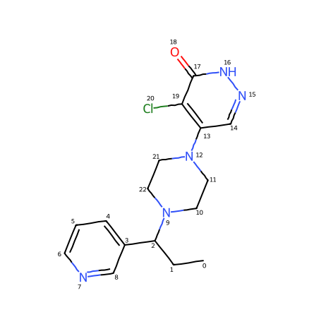 CCC(c1cccnc1)N1CCN(c2cn[nH]c(=O)c2Cl)CC1